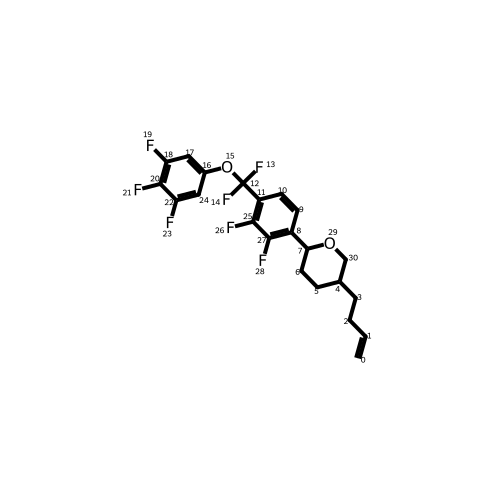 C=CCCC1CCC(c2ccc(C(F)(F)Oc3cc(F)c(F)c(F)c3)c(F)c2F)OC1